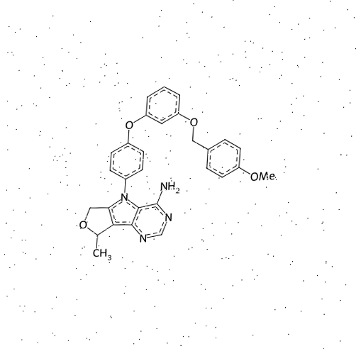 COc1ccc(COc2cccc(Oc3ccc(-n4c5c(c6ncnc(N)c64)C(C)OC5)cc3)c2)cc1